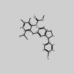 COC(=O)Oc1c(C)c(C)nc(C(C)C)c1Cc1ccc2c(c1)C(c1ccc(F)cc1)CC2